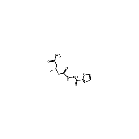 C[C@@H]([CH]C(=O)NNC(=O)c1ccco1)CC(N)=O